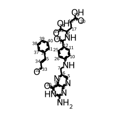 Nc1nc2ncc(CNc3ccc(C(=O)NC(CCC(=O)O)C(=O)O)cc3)nc2c(=O)[nH]1.O=CC=Cc1ccccc1